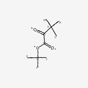 CC(C)(C)OC(=O)C(=O)C(C)(C)C